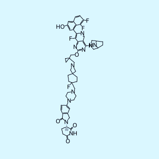 O=C1CC[C@H](N2Cc3cc(N4CCN(CC5(F)CCC6(CC5)CN(CC5(COc7nc(N8CC9CCC(C8)N9)c8cnc(-c9cc(O)cc%10ccc(F)c(F)c9%10)c(F)c8n7)CC5)C6)CC4)ccc3C2=O)C(=O)N1